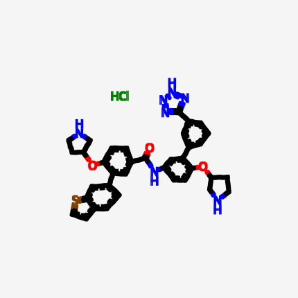 Cl.O=C(Nc1ccc(OC2CCNC2)c(-c2cccc(-c3nn[nH]n3)c2)c1)c1ccc(OC2CCNC2)c(-c2ccc3ccsc3c2)c1